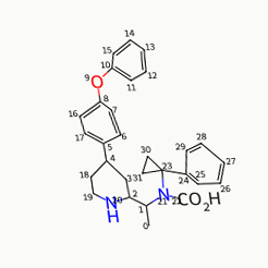 CC(C1CC(c2ccc(Oc3ccccc3)cc2)CCN1)N(C(=O)O)C1(c2ccccc2)CC1